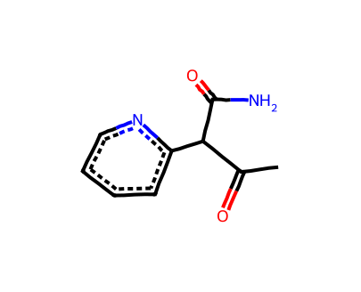 CC(=O)C(C(N)=O)c1ccccn1